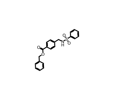 O=C(OCc1ccccc1)c1ccc(CNS(=O)(=O)c2ccccc2)cc1